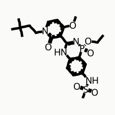 CCOP1(=O)N=C(c2c(OC)ccn(CCC(C)(C)C)c2=O)Nc2ccc(NS(C)(=O)=O)cc21